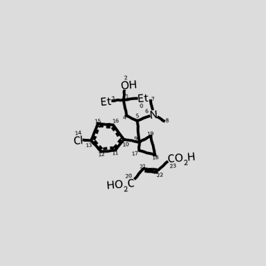 CCC(O)(CC)CC(N(C)C)C1(c2ccc(Cl)cc2)CCC1.O=C(O)C=CC(=O)O